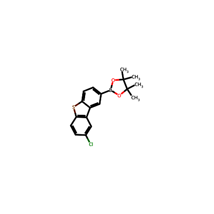 CC1(C)OB(c2ccc3sc4ccc(Cl)cc4c3c2)OC1(C)C